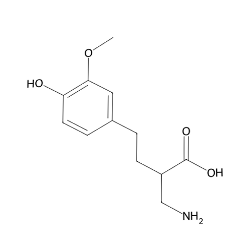 COc1cc(CCC(CN)C(=O)O)ccc1O